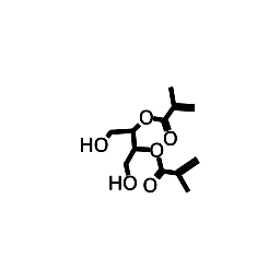 C=C(C)C(=O)OC(CO)C(CO)OC(=O)C(=C)C